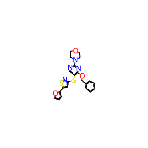 c1ccc(COc2nc(N3CCOCC3)ncc2Sc2cc(-c3ccco3)sn2)cc1